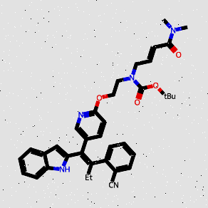 CC/C(=C(/c1ccc(OCCN(C/C=C/C(=O)N(C)C)C(=O)OC(C)(C)C)nc1)c1cc2ccccc2[nH]1)c1ccccc1C#N